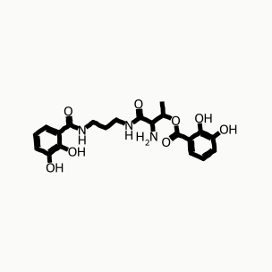 CC(OC(=O)c1cccc(O)c1O)C(N)C(=O)NCCCNC(=O)c1cccc(O)c1O